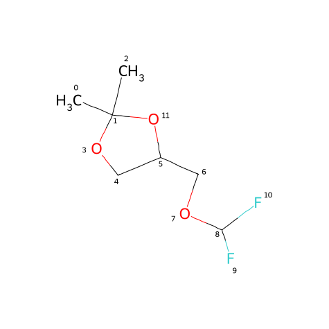 CC1(C)OCC(COC(F)F)O1